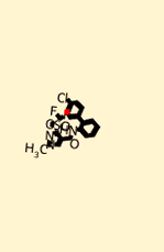 Cn1cc(C(=O)Nc2ccccc2-c2ccc(Cl)cc2)c(S(=O)(=O)C(F)F)n1